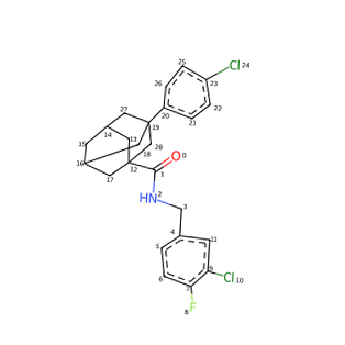 O=C(NCc1ccc(F)c(Cl)c1)C12CC3CC(C1)CC(c1ccc(Cl)cc1)(C3)C2